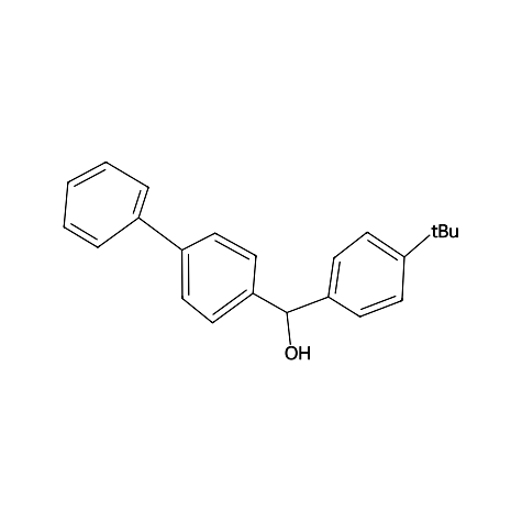 CC(C)(C)c1ccc(C(O)c2ccc(-c3ccccc3)cc2)cc1